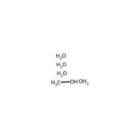 CO.O.O.O.O